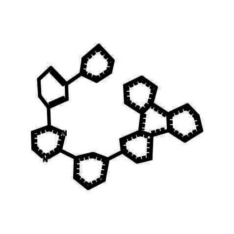 C1=C(c2ccccc2)C=C(c2ccnc(-c3cccc(-c4ccc5c6ccccc6c6ccccc6c5c4)c3)n2)CC1